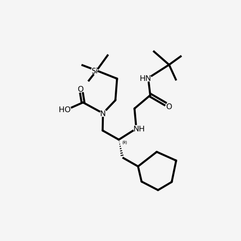 CC(C)(C)NC(=O)CN[C@H](CC1CCCCC1)CN(CC[Si](C)(C)C)C(=O)O